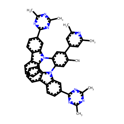 Cc1cc(-c2cc(-n3c4ccccc4c4ccc(-c5nc(C)nc(C)n5)cc43)c(-n3c4ccccc4c4ccc(-c5nc(C)nc(C)n5)cc43)cc2C#N)cc(C)n1